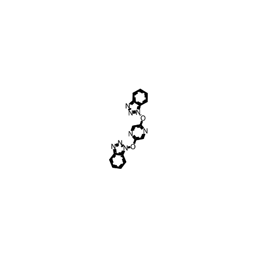 c1ccc2c(c1)nnn2Oc1cnc(On2nnc3ccccc32)cn1